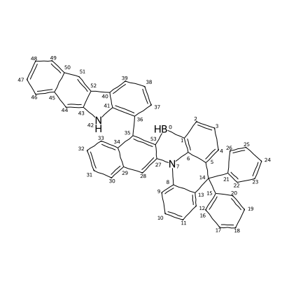 B1c2cccc3c2N(c2ccccc2C3(c2ccccc2)c2ccccc2)c2cc3ccccc3c(-c3cccc4c3[nH]c3cc5ccccc5cc34)c21